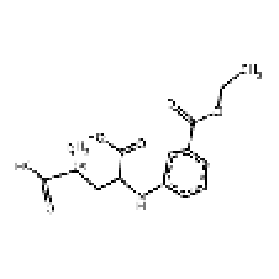 CCOC(=O)c1cccc(NC(C[C@@H](N)C(=O)O)C(=O)O)c1